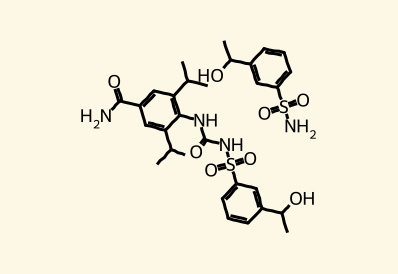 CC(C)c1cc(C(N)=O)cc(C(C)C)c1NC(=O)NS(=O)(=O)c1cccc(C(C)O)c1.CC(O)c1cccc(S(N)(=O)=O)c1